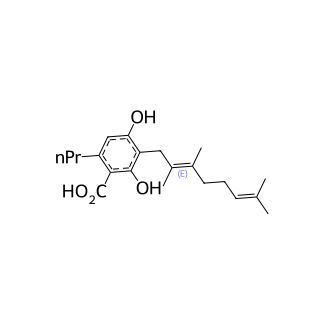 CCCc1cc(O)c(C/C(C)=C(\C)CCC=C(C)C)c(O)c1C(=O)O